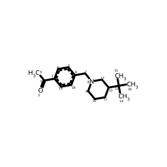 CC(=O)c1ccc(CN2CCCC(C(C)(C)C)C2)cc1